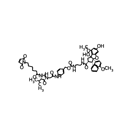 COc1ccc([C@@]23Oc4cc(O)cc(OC)c4C2(O)C[C@H](C(=O)NCCNC(=O)OCc2ccc(NC(=O)CNC(=O)[C@@H](NC(=O)CCCCCN4C(=O)C=CC4=O)C(C)C)cc2)[C@H]3c2ccccc2)cc1